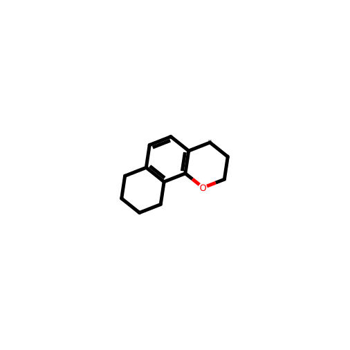 [C]1CCOc2c1ccc1c2CCCC1